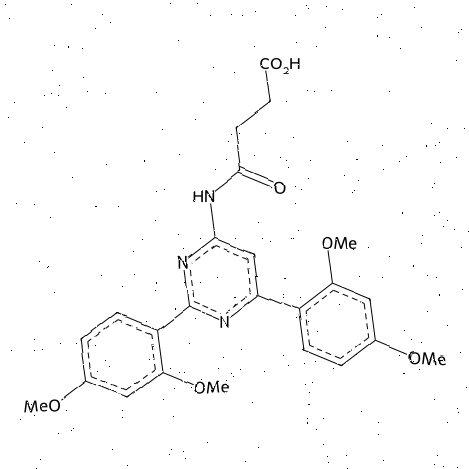 COc1ccc(-c2cc(NC(=O)CCC(=O)O)nc(-c3ccc(OC)cc3OC)n2)c(OC)c1